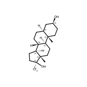 C[C@]12CC[C@H](O)C[C@@H]1CC[C@@H]1[C@@H]2CC[C@@]2(C)[C@H]1CC[C@@]2(O)C(F)(F)F